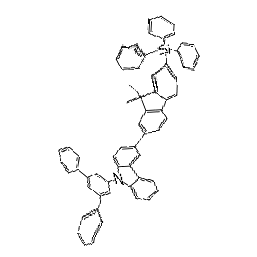 CC1(C)c2cc(-c3ccc4c(c3)c3ccccc3n4-c3cc(-c4ccccc4)cc(-c4ccccc4)c3)ccc2-c2ccc([Si](c3ccccc3)(c3ccccc3)c3ccccc3)cc21